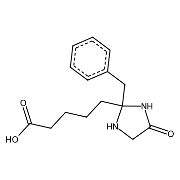 O=C(O)CCCCC1(Cc2ccccc2)NCC(=O)N1